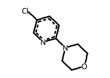 Clc1ccc(N2CCOCC2)nc1